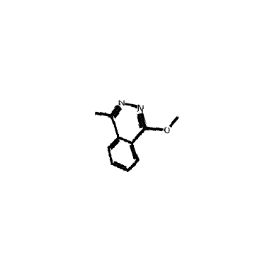 COc1nnc(C)c2ccccc12